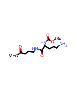 COC(=O)CCCNC(=O)C(CCCN)NC(=O)OC(C)(C)C